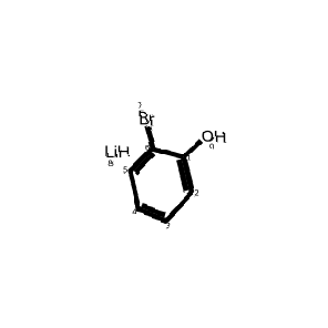 Oc1ccccc1Br.[LiH]